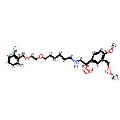 CCOCc1cc([C@@H](O)CNCCCCCCOCCOCc2c(Cl)cccc2Cl)ccc1OCC